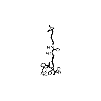 CC(=O)O[Si](CCCNC(=O)NCCC[Si](C)(C)C)(C1(C)OO1)C1(C)OO1